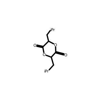 CC(C)CC1OC(=O)C(CC(C)C)OC1=O